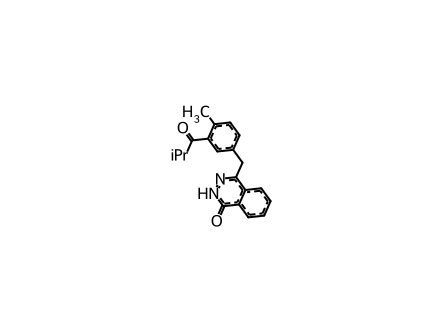 Cc1ccc(Cc2n[nH]c(=O)c3ccccc23)cc1C(=O)C(C)C